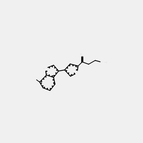 CCCC(=O)c1cc(-c2coc3c(F)cccc23)cs1